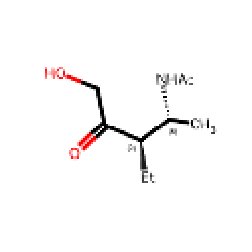 CC[C@@H](C(=O)CO)[C@@H](C)NC(C)=O